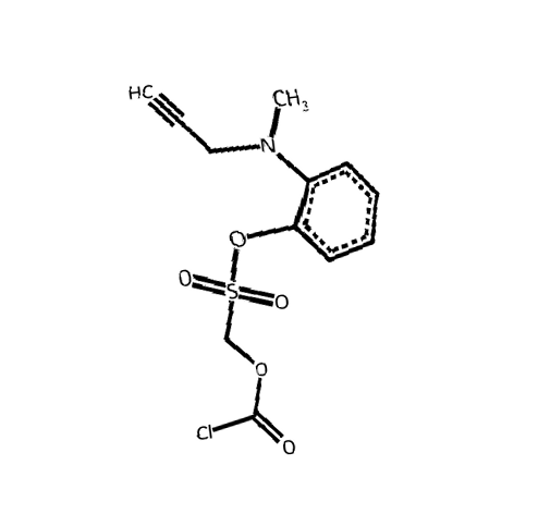 C#CCN(C)c1ccccc1OS(=O)(=O)COC(=O)Cl